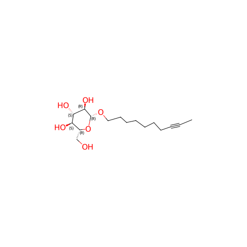 CC#CCCCCCCCO[C@@H]1O[C@H](CO)[C@@H](O)[C@H](O)[C@H]1O